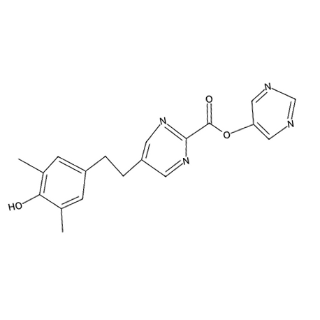 Cc1cc(CCc2cnc(C(=O)Oc3cncnc3)nc2)cc(C)c1O